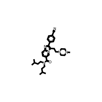 CC(C)CCN(CCC(C)C)C(=O)c1ccc2nc(-c3ccc(C#N)cc3)c(CCN3CCN(C)CC3)n2c1